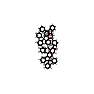 c1ccc(-n2c3ccccc3c3cc(-c4ccc5oc6cccc(N(c7ccc8c(c7)C(c7ccccc7)(c7ccccc7)c7ccccc7-8)c7ccccc7-c7cccc8c7-c7ccccc7C87c8ccccc8-c8ccccc87)c6c5c4)ccc32)cc1